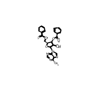 Cc1ncnc2c1ncn2C1O[C@@H](COC(=O)c2ccccc2)C(OC(=O)c2ccccc2)C1O